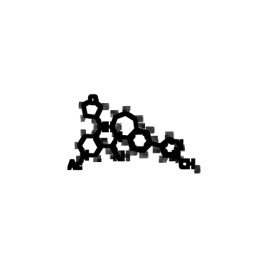 CC(=O)N1CCC(N[C@H]2CCOC2)=C(C(=N)N2CCCCc3cc(-c4cnn(C)c4)ccc32)C1